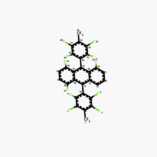 Fc1c(F)c(C(F)(F)F)c(F)c(F)c1-c1c2cccc(F)c2c(-c2c(F)c(F)c(C(F)(F)F)c(F)c2F)c2c(F)ccc(F)c12